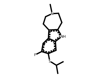 CC(C)Sc1cc2[nH]c3c(c2cc1F)CCN(C)CC3